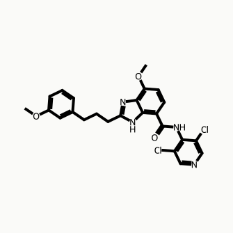 COc1cccc(CCCc2nc3c(OC)ccc(C(=O)Nc4c(Cl)cncc4Cl)c3[nH]2)c1